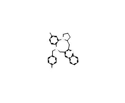 Cc1ccc(CN2Cc3cc4ccccc4nc3CC3CCCN3c3cc(Cl)ccc32)cc1